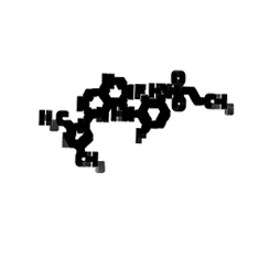 CCCS(=O)(=O)Nc1ccc(F)c(Nc2ncnc3cnc(-n4cc(C)nc4C)nc23)c1F